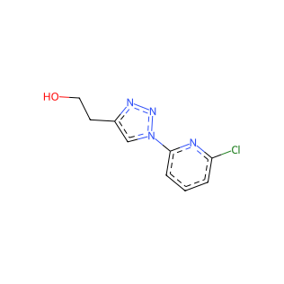 OCCc1cn(-c2cccc(Cl)n2)nn1